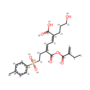 C=C(CC)C(=O)OC(=O)C(=CC=C(CCCO)C(=O)O)CCS(=O)(=O)c1ccc(C)cc1